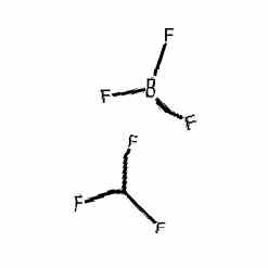 FB(F)F.FC(F)F